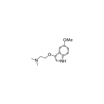 COc1ccc2[nH]cc(OCCN(C)C)c2c1